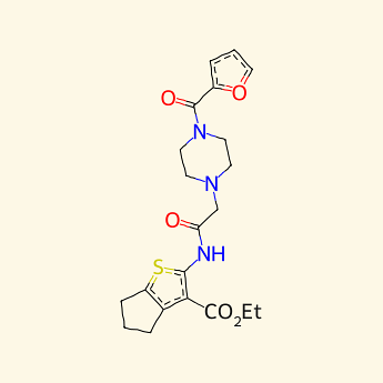 CCOC(=O)c1c(NC(=O)CN2CCN(C(=O)c3ccco3)CC2)sc2c1CCC2